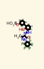 CC1=NN(c2c(F)c(F)c(F)c(F)c2F)C(=O)C1=NNc1cccc(-c2cccc(OC(=O)O)c2)c1O